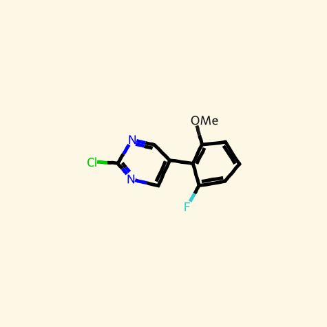 COc1cccc(F)c1-c1cnc(Cl)nc1